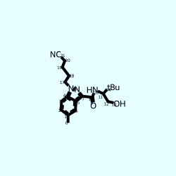 Cc1ccc2c(c1)c(C(=O)NC(CO)C(C)(C)C)nn2CCCCC#N